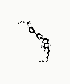 CCCCCCOCCCCC1Oc2ccc(-c3ncc(-c4ccc(OC(=O)CCCCC)cc4)cn3)nc2C1(F)F